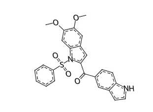 COc1cc2cc(C(=O)c3ccc4[nH]ccc4c3)n(S(=O)(=O)c3ccccc3)c2cc1OC